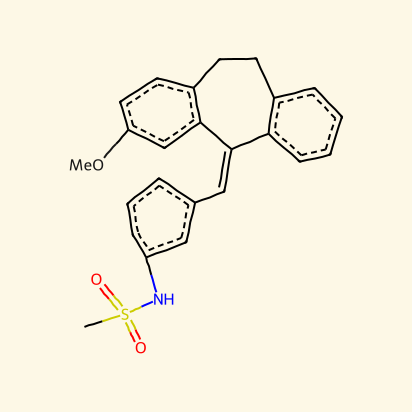 COc1ccc2c(c1)/C(=C\c1cccc(NS(C)(=O)=O)c1)c1ccccc1CC2